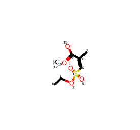 CCOS(=O)(=O)C=C(C)C(=O)[O-].[K+]